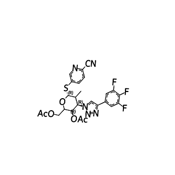 CC(=O)OCC1O[C@H](Sc2ccc(C#N)nc2)C(C)[C@@H](n2cc(-c3cc(F)c(F)c(F)c3)nn2)[C@H]1OC(C)=O